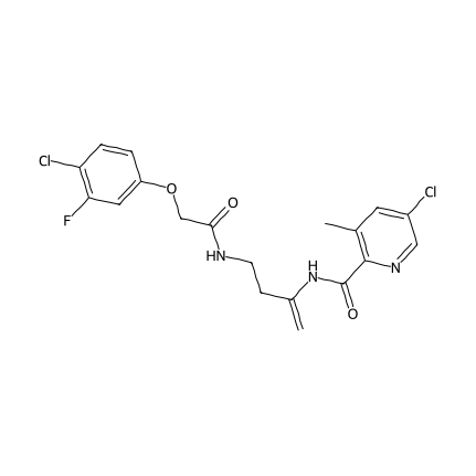 C=C(CCNC(=O)COc1ccc(Cl)c(F)c1)NC(=O)c1ncc(Cl)cc1C